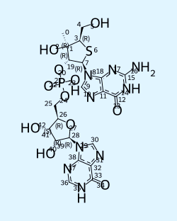 C[C@]1(O)[C@@H](CO)S[C@@H](n2cnc3c(=O)[nH]c(N)nc32)[C@@H]1OP(=O)(O)OC[C@H]1O[C@@H](n2cnc3c(=O)[nH]cnc32)[C@H](O)[C@@H]1O